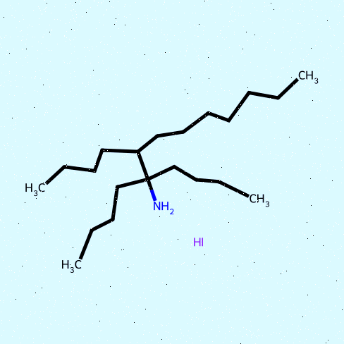 CCCCCCCC(CCCC)C(N)(CCCC)CCCC.I